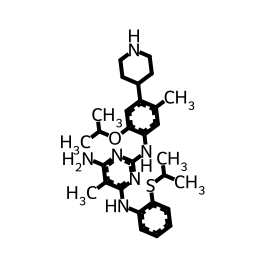 Cc1cc(Nc2nc(N)c(C)c(Nc3ccccc3SC(C)C)n2)c(OC(C)C)cc1C1CCNCC1